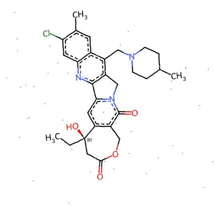 CC[C@@]1(O)CC(=O)OCc2c1cc1n(c2=O)Cc2c-1nc1cc(Cl)c(C)cc1c2CN1CCC(C)CC1